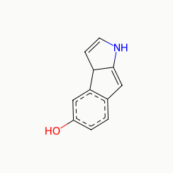 Oc1ccc2c(c1)C1C=CNC1=C2